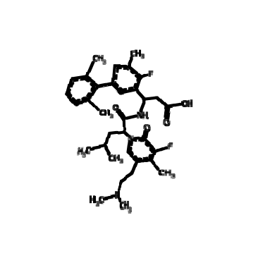 Cc1cc(-c2c(C)cccc2C)cc(C(CC(=O)O)NC(=O)C(CC(C)C)n2cc(CCN(C)C)c(C)c(F)c2=O)c1F